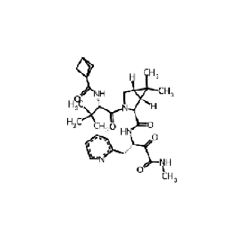 CNC(=O)C(=O)[C@H](Cc1ccccn1)NC(=O)[C@@H]1[C@@H]2[C@H](CN1C(=O)[C@@H](NC(=O)C13CC(C1)C3)C(C)(C)C)C2(C)C